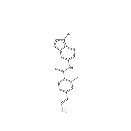 CC(=O)n1ccc2cc(NC(=O)c3ccc(/C=C/C(F)(F)F)cc3C)cnc21